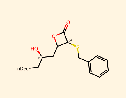 CCCCCCCCCCC[C@@H](O)CC1OC(=O)[C@H]1SCc1ccccc1